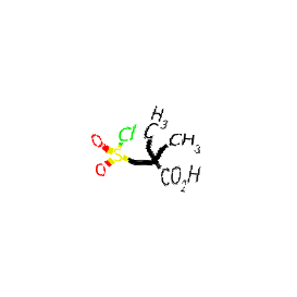 CC(C)(CS(=O)(=O)Cl)C(=O)O